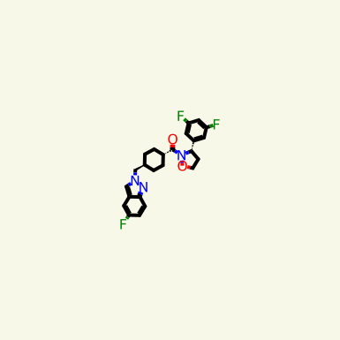 O=C([C@H]1CC[C@H](Cn2cc3cc(F)ccc3n2)CC1)N1OCC[C@H]1c1cc(F)cc(F)c1